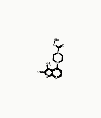 CC(=O)c1sc2nccc(N3CCN(C(=O)OC(C)(C)C)CC3)c2c1N